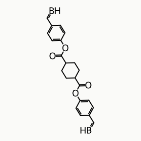 B=Cc1ccc(OC(=O)C2CCC(C(=O)Oc3ccc(C=B)cc3)CC2)cc1